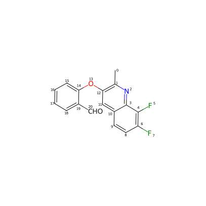 Cc1nc2c(F)c(F)ccc2cc1Oc1ccccc1C=O